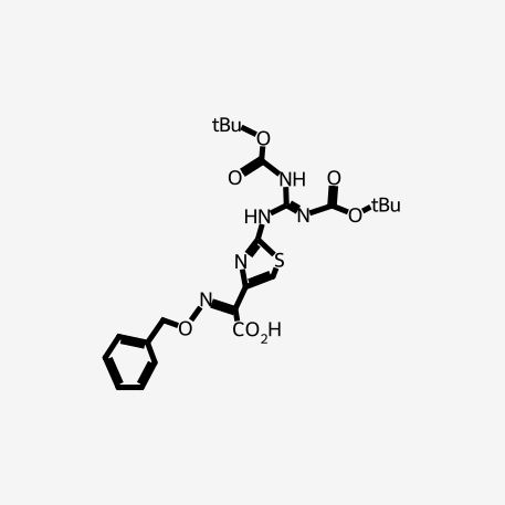 CC(C)(C)OC(=O)/N=C(\NC(=O)OC(C)(C)C)Nc1nc(/C(=N/OCc2ccccc2)C(=O)O)cs1